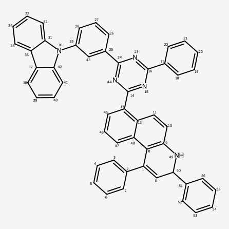 C1=C(c2ccccc2)c2c(ccc3c(-c4nc(-c5ccccc5)nc(-c5cccc(-n6c7ccccc7c7ccccc76)c5)n4)cccc23)NC1c1ccccc1